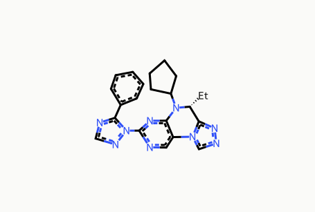 CC[C@@H]1c2nncn2-c2cnc(-n3ncnc3-c3ccccc3)nc2N1C1CCCC1